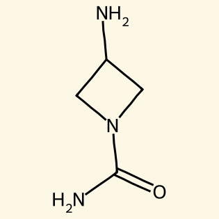 NC(=O)N1CC(N)C1